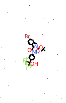 CC(C)(C)OC(=O)n1cc2cc(Br)ccc2c1C(=O)Nc1ccc(C(O)(C(F)(F)F)C(F)(F)F)cc1